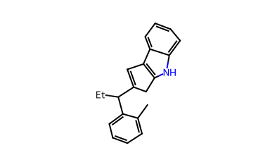 CCC(C1=Cc2c([nH]c3ccccc23)C1)c1ccccc1C